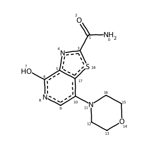 NC(=O)c1nc2c(O)ncc(N3CCOCC3)c2s1